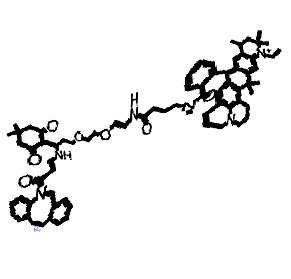 CC[N+]1=c2cc3c(cc2C(C)CC1(C)C)=C(c1ccccc1C(=O)N(C)CCCC(=O)NCCOCCOCCC(NCCC(=O)N1Cc2ccccc2/C=C\c2ccccc21)=C1C(=O)CC(C)(C)CC1=O)c1cc2c4c(c1C3(C)C)CCCN4CCC2